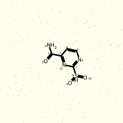 NC(=O)c1ccnc([SH](=O)=O)n1